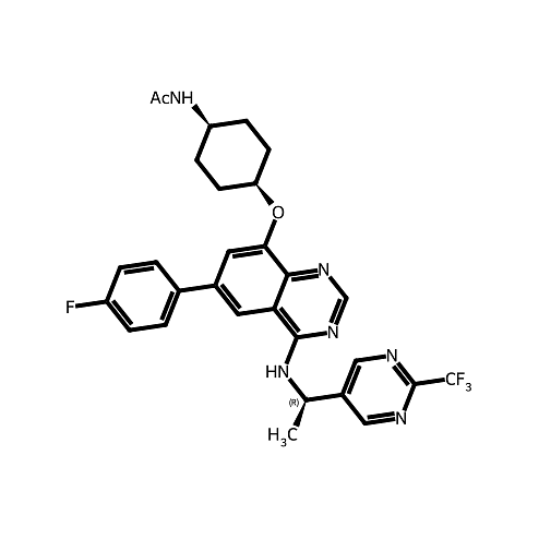 CC(=O)N[C@H]1CC[C@@H](Oc2cc(-c3ccc(F)cc3)cc3c(N[C@H](C)c4cnc(C(F)(F)F)nc4)ncnc23)CC1